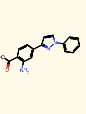 COC(=O)c1ccc(-c2ccn(-c3ccccc3)n2)cc1N